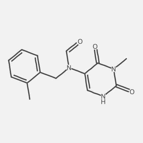 Cc1ccccc1CN(C=O)c1c[nH]c(=O)n(C)c1=O